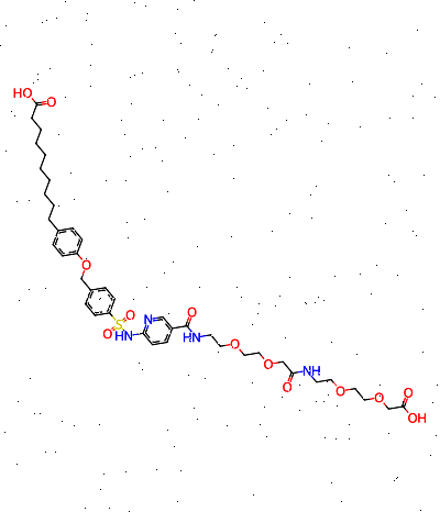 O=C(O)CCCCCCCCCc1ccc(OCc2ccc(S(=O)(=O)Nc3ccc(C(=O)NCCOCCOCC(=O)NCCOCCOCC(=O)O)cn3)cc2)cc1